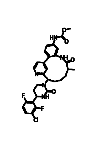 COC(=O)Nc1ccc2c(c1)NC(=O)C(C)CCCC(N1CCC(c3c(F)ccc(Cl)c3F)NC1=O)c1cc-2ccn1